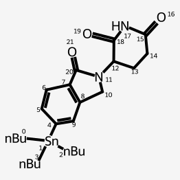 CCC[CH2][Sn]([CH2]CCC)([CH2]CCC)[c]1ccc2c(c1)CN(C1CCC(=O)NC1=O)C2=O